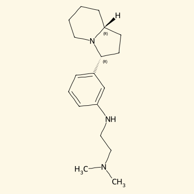 CN(C)CCNc1cccc([C@H]2CC[C@H]3CCCCN32)c1